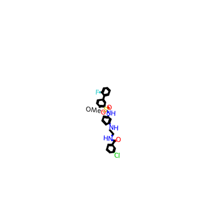 COc1ccc(-c2ccccc2F)cc1S(=O)(=O)Nc1cccc(NCCNC(=O)c2cccc(Cl)c2)c1